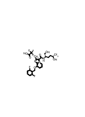 Cc1nc2c(OCc3c(F)cccc3F)cccn2c1C(=O)N[C@@H](CO)CC[C@@H](O)C(F)(F)F.O=C(O)C(F)(F)F